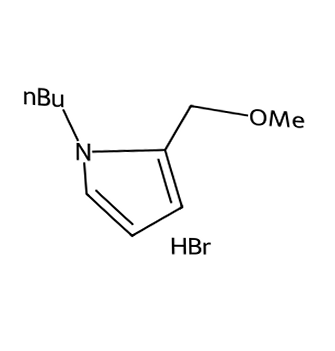 Br.CCCCn1cccc1COC